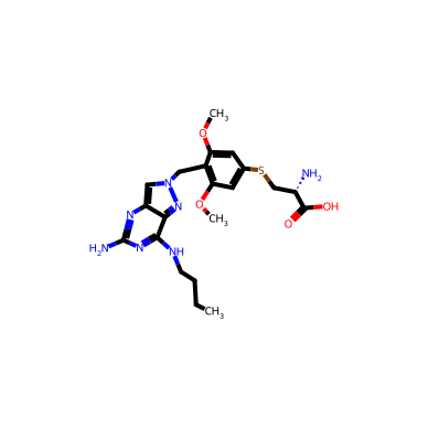 CCCCNc1nc(N)nc2cn(Cc3c(OC)cc(SC[C@H](N)C(=O)O)cc3OC)nc12